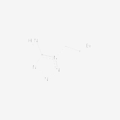 Nc1nnnn1CCBr